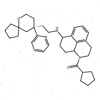 O=C(C1CCCC1)N1CCc2cccc3c2C1CCC3NCC[C@@]1(c2ccccn2)CCOC2(CCCC2)C1